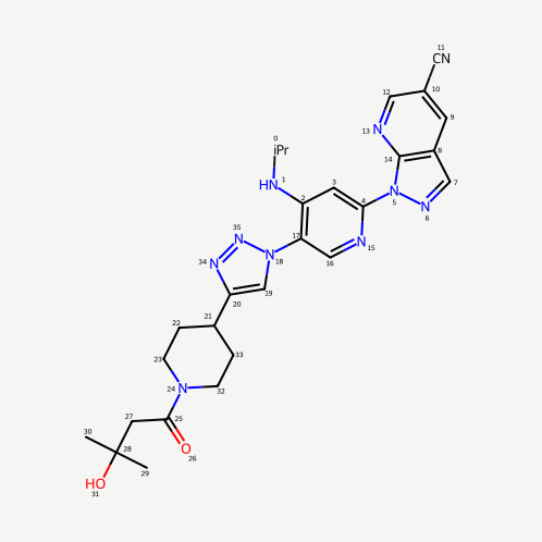 CC(C)Nc1cc(-n2ncc3cc(C#N)cnc32)ncc1-n1cc(C2CCN(C(=O)CC(C)(C)O)CC2)nn1